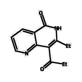 CCC(=O)c1c(CC)[nH]c(=O)c2cccnc12